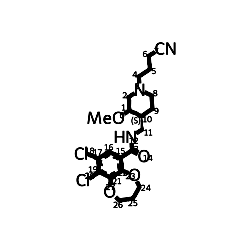 COC1CN(CCCC#N)CC[C@H]1CNC(=O)c1cc(Cl)c(Cl)c2c1OCCCO2